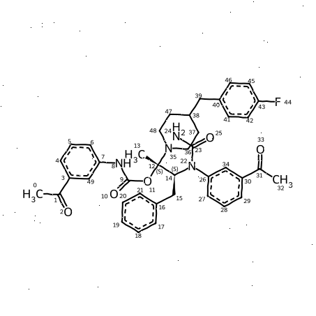 CC(=O)c1cccc(NC(=O)O[C@@](C)([C@H](Cc2ccccc2)N(C(N)=O)c2cccc(C(C)=O)c2)N2CCC(Cc3ccc(F)cc3)CC2)c1